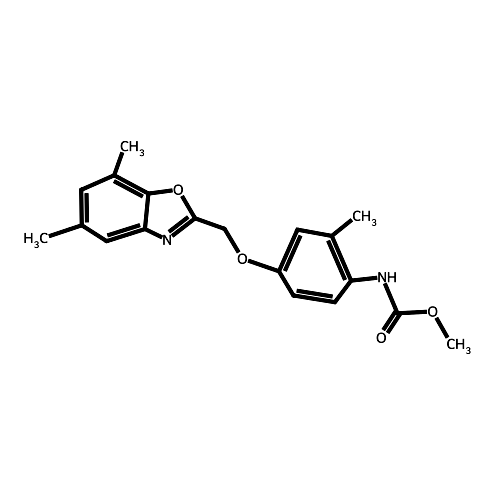 COC(=O)Nc1ccc(OCc2nc3cc(C)cc(C)c3o2)cc1C